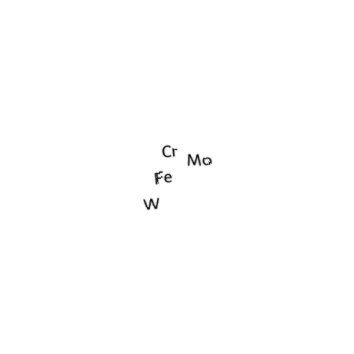 [Cr].[Fe].[Mo].[W]